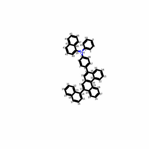 c1ccc(N(c2ccc(-c3cc4cc(-c5cccc6ccccc56)c5ccccc5c4c4ccccc34)cc2)c2cccc3ccccc23)cc1